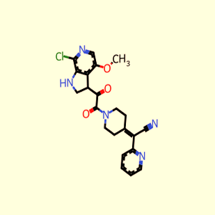 COc1cnc(Cl)c2c1C(C(=O)C(=O)N1CCC(=C(C#N)c3ccccn3)CC1)CN2